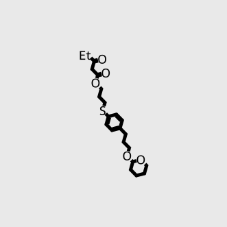 CCC(=O)CC(=O)OCCCSc1ccc(CCCOC2CCCCO2)cc1